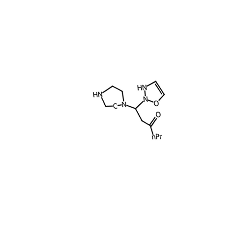 CCCC(=O)CC(N1CCNCC1)N1NC=CO1